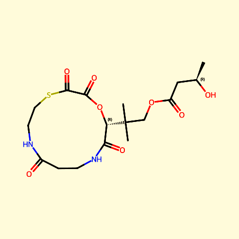 C[C@@H](O)CC(=O)OCC(C)(C)[C@H]1OC(=O)C(=O)SCCNC(=O)CCNC1=O